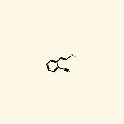 [C-]#[N+]c1ccccc1C=CC